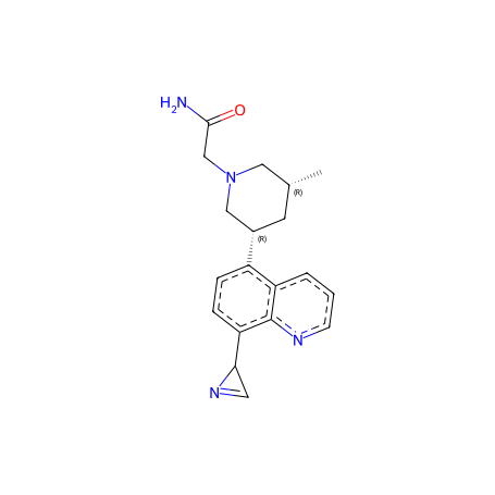 C[C@@H]1C[C@H](c2ccc(C3C=N3)c3ncccc23)CN(CC(N)=O)C1